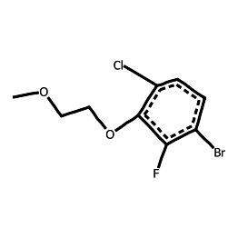 COCCOc1c(Cl)ccc(Br)c1F